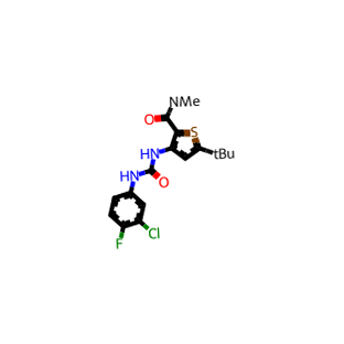 CNC(=O)c1sc(C(C)(C)C)cc1NC(=O)Nc1ccc(F)c(Cl)c1